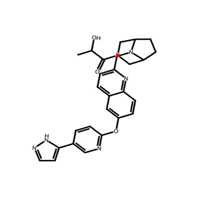 CC(O)C(=O)N1CC2CCC(C1)N2Cc1ccc2cc(Oc3ccc(-c4ccn[nH]4)cn3)ccc2n1